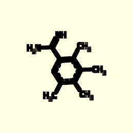 Cc1cc(C(=N)N)c(C)c(C)c1C